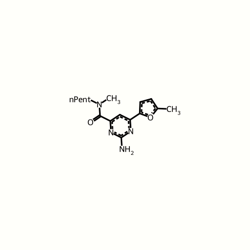 CCCCCN(C)C(=O)c1cc(-c2ccc(C)o2)nc(N)n1